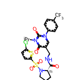 CC(C)n1c(=O)c(CNC(=O)[C@@H]2CCCN2S(=O)(=O)c2ccc(Cl)s2)cn(-c2ccc(C(F)(F)F)cc2)c1=O